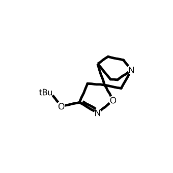 CC(C)(C)OC1=NOC2(C1)CN1CCC2CC1